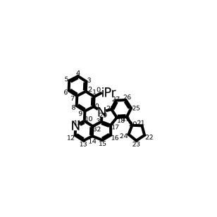 CC(C)c1c2ccccc2cc2c3nccc4ccc5c6c(C7CCCC7)cccc6n(c12)c5c43